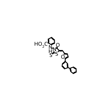 O=C(O)c1ccccc1NN1C(=O)C(=Cc2ccc(-c3cccc(-c4ccccc4)c3)o2)SC1=S